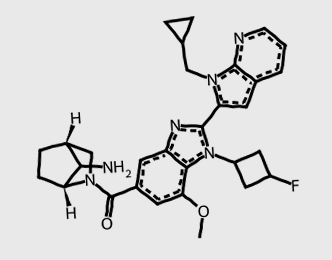 COc1cc(C(=O)N2C[C@H]3CC[C@@H]2C3N)cc2nc(-c3cc4cccnc4n3CC3CC3)n(C3CC(F)C3)c12